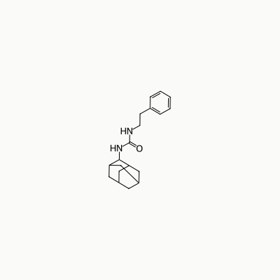 O=C(NCCc1ccccc1)NC1C2CC3CC(C2)CC1C3